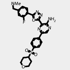 CNCc1ccc(-c2nnc(-c3nc(-c4ccc(S(=O)(=O)C5CCOCC5)cc4)cnc3N)o2)c(F)c1